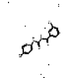 O=C(NC(=S)Nc1ccc(Cl)cc1)c1cccc(Cl)c1